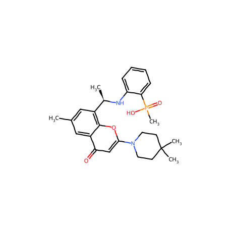 Cc1cc([C@@H](C)Nc2ccccc2P(C)(=O)O)c2oc(N3CCC(C)(C)CC3)cc(=O)c2c1